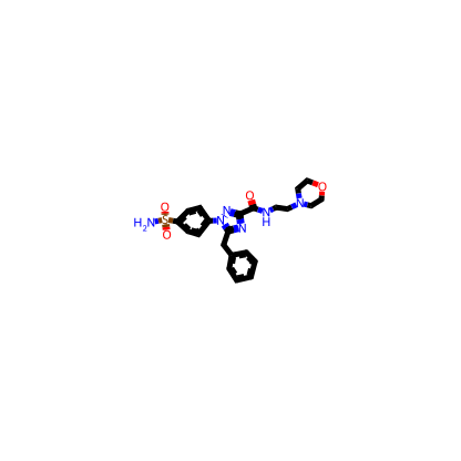 NS(=O)(=O)c1ccc(-n2nc(C(=O)NCCN3CCOCC3)nc2Cc2ccccc2)cc1